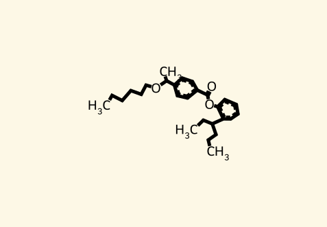 CCCCCCOC(C)c1ccc(C(=O)Oc2ccccc2C(CC)CCC)cc1